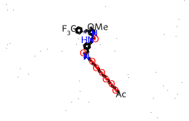 COc1cnc(C(=O)NCc2cccc(CC(=O)N(C)CCOCCOCCOCCOCCOCCOCC(C)=O)c2)cc1/C=C/[C@H]1CC[C@H](C(F)(F)F)CC1